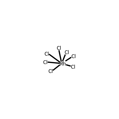 [Cl][Rh]([Cl])([Cl])([Cl])([Cl])([Cl])[Cl]